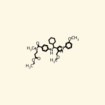 CCOC(=O)CCN(C)C(=O)c1ccc(NC(c2cn(-c3cccc(OC)c3)nc2COC)C2CCCCC2)cc1